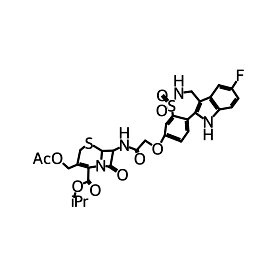 CC(=O)OCC1=C(C(=O)OC(C)C)N2C(=O)C(NC(=O)COc3ccc4c(c3)S(=O)(=O)NCc3c-4[nH]c4ccc(F)cc34)C2SC1